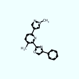 Cc1ccc(-c2cnn(C)c2)nc1-c1nc(-c2ccccc2)co1